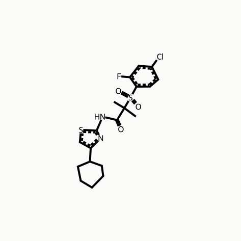 CC(C)(C(=O)Nc1nc(C2CCCCC2)cs1)S(=O)(=O)c1ccc(Cl)cc1F